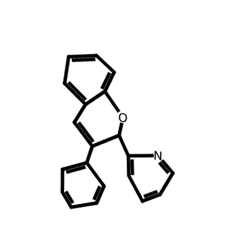 C1=C(c2ccccc2)C(c2ccccn2)Oc2ccccc21